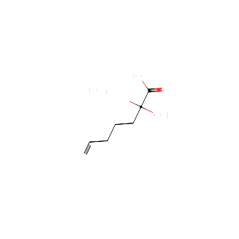 C=CCCCC(O)(O)C(=O)O.[CaH2]